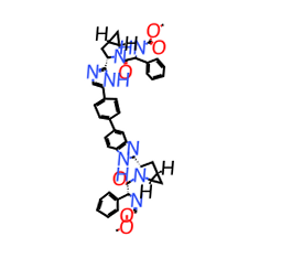 COO/C=N\[C@@H](C(=O)N1[C@H](c2nc3cc(-c4ccc(-c5cnc([C@@H]6C[C@@H]7C[C@@H]7N6C(=O)[C@H](NC(=O)OC)c6ccccc6)[nH]5)cc4)ccc3[nH]2)C[C@@H]2C[C@@H]21)c1ccccc1